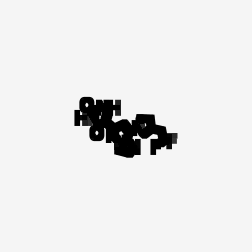 O=c1[nH]cc(-c2cc(N3CCC(CC(F)F)C3)c3nccn3n2)c(=O)[nH]1